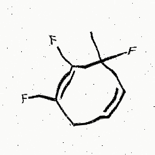 CC1(F)C=C[CH]C(F)=C1F